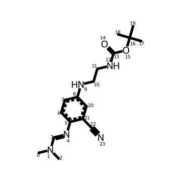 CN(C)C=Nc1ccc(NCCNC(=O)OC(C)(C)C)cc1C#N